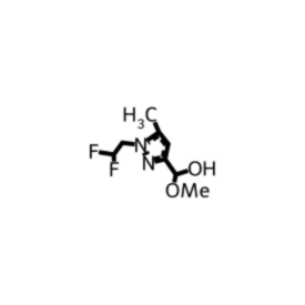 COC(O)c1cc(C)n(CC(F)F)n1